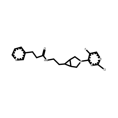 O=C(CCc1cccnc1)NCCC1C2CN(c3nc(Cl)ncc3F)CC12